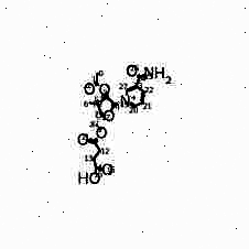 CC(=O)O[C@@H]1[C@H](C)[C@@H](COC(=O)CCC(=O)O)O[C@H]1[n+]1cccc(C(N)=O)c1